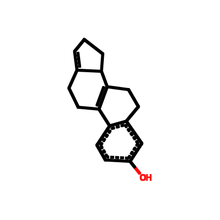 Oc1ccc2c(c1)CCC1=C2CCC2=CCCC21